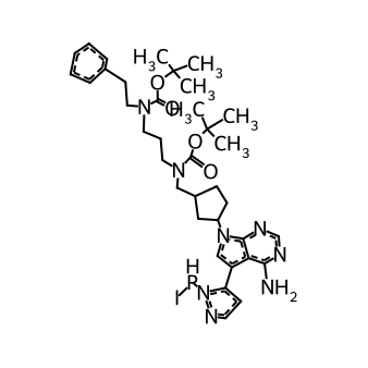 CC(C)(C)OC(=O)N(CCCN(CC1CCC(n2cc(-c3ccnn3PI)c3c(N)ncnc32)C1)C(=O)OC(C)(C)C)CCc1ccccc1